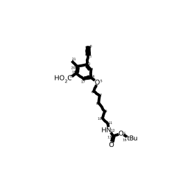 C#Cc1cc(OCCCCCCNC(=O)OC(C)(C)C)cc(C(=O)O)c1C